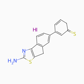 I.Nc1nc2c(s1)Cc1cc(C3=CC(=S)CC=C3)ccc1-2